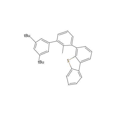 Cc1c(-c2cc(C(C)(C)C)cc(C(C)(C)C)c2)cccc1-c1cccc2c1sc1ccccc12